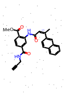 C#CCNC(=O)c1ccc(C(=O)OC)c(NC(=O)/C=C(/C)c2ccc3ccccc3c2)c1